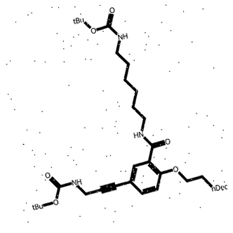 CCCCCCCCCCCCOc1ccc(C#CCNC(=O)OC(C)(C)C)cc1C(=O)NCCCCCCNC(=O)OC(C)(C)C